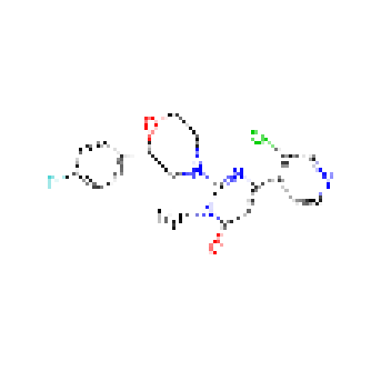 Cn1c(N2CCO[C@@H](c3ccc(F)cc3)C2)nc(-c2ccncc2Cl)cc1=O